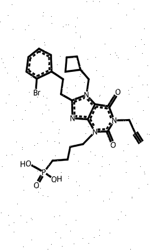 C#CCn1c(=O)c2c(nc(CCc3ccccc3Br)n2CC2CCC2)n(CCCCP(=O)(O)O)c1=O